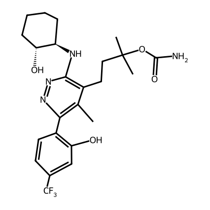 Cc1c(-c2ccc(C(F)(F)F)cc2O)nnc(N[C@@H]2CCCC[C@H]2O)c1CCC(C)(C)OC(N)=O